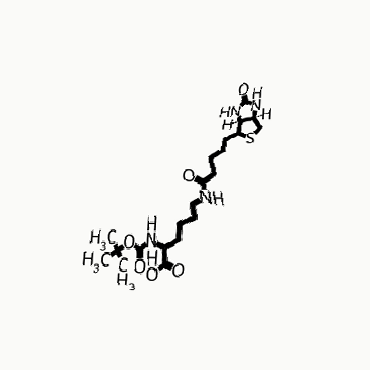 CC(C)(C)OC(=O)NC(CCCCNC(=O)CCCCC1SC[C@@H]2NC(=O)N[C@H]12)C(=O)O